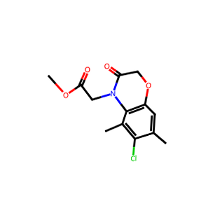 COC(=O)CN1C(=O)COc2cc(C)c(Cl)c(C)c21